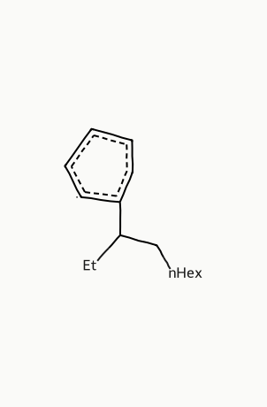 CCCCCCCC(CC)c1[c]cccc1